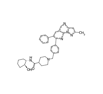 Cc1cc2ncc3cc(-c4ccccc4)c(-c4ccc(CN5CCC(C(=O)N[C@H]6CCCC[C@@H]6O)CC5)cc4)nc3n2n1